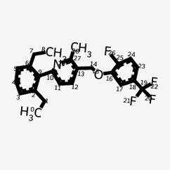 CCc1cccc(CC)c1-c1ccc(COc2cc(C(F)(F)F)ccc2F)c(C)n1